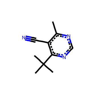 Cc1ncnc(C(C)(C)C)c1C#N